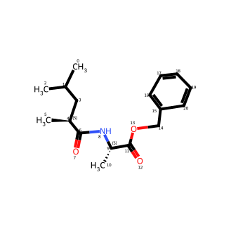 CC(C)C[C@H](C)C(=O)N[C@@H](C)C(=O)OCc1ccccc1